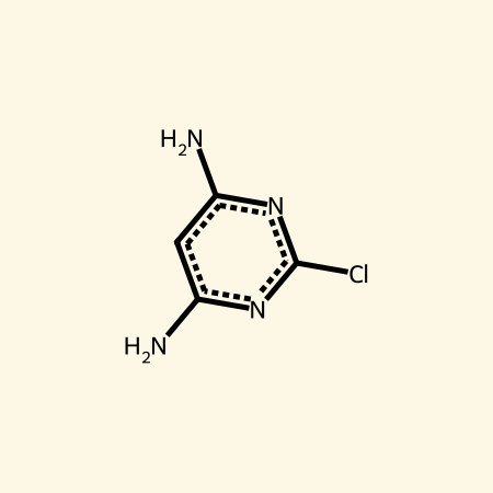 Nc1cc(N)nc(Cl)n1